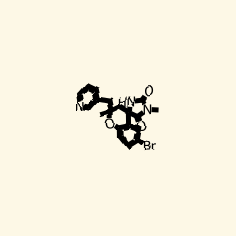 CN1C(=O)NC2(CC(C)(Cc3cccnc3)Oc3ccc(Br)cc32)C1=O